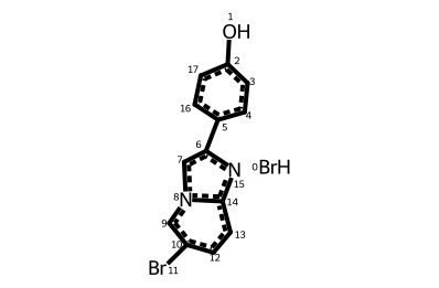 Br.Oc1ccc(-c2cn3cc(Br)ccc3n2)cc1